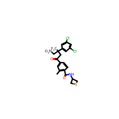 Cc1cc(C(=O)CC(C[N+](=O)[O-])(c2cc(Cl)cc(Cl)c2)C(F)(F)F)ccc1C(=O)NC1CSC1